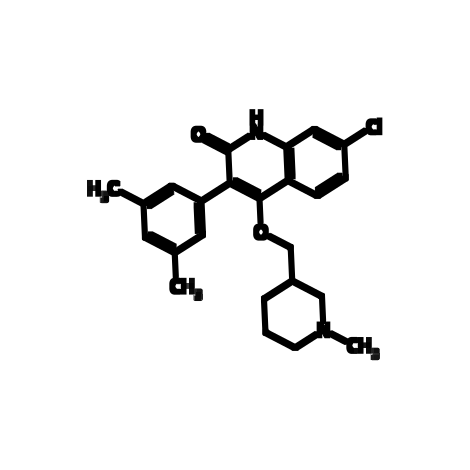 Cc1cc(C)cc(-c2c(OCC3CCCN(C)C3)c3ccc(Cl)cc3[nH]c2=O)c1